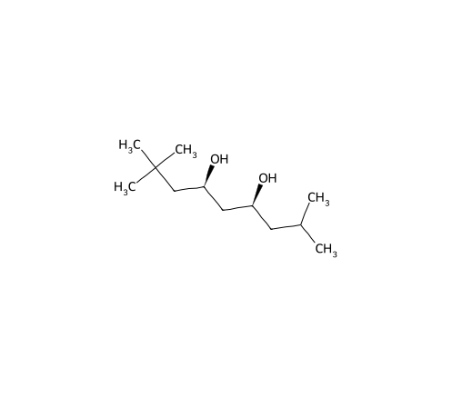 CC(C)C[C@H](O)C[C@H](O)CC(C)(C)C